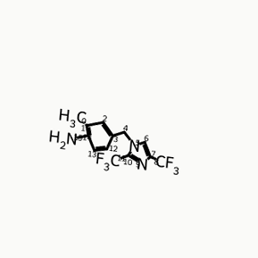 Cc1cc(Cn2cc(C(F)(F)F)nc2C(F)(F)F)ccc1N